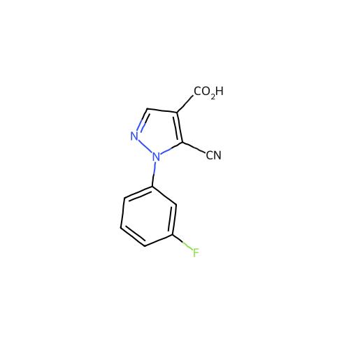 N#Cc1c(C(=O)O)cnn1-c1cccc(F)c1